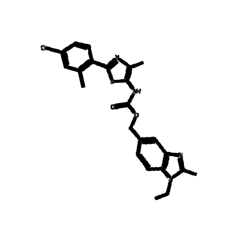 CCn1c(C)nc2cc(COC(=O)Nc3sc(-c4ccc(Cl)cc4C)nc3C)ccc21